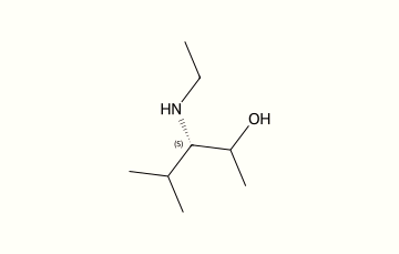 CCN[C@@H](C(C)C)C(C)O